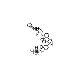 COc1cc(-c2nccc(-c3cccc(Nc4nccc(CNC[C@H]5CCO5)c4F)c3Cl)c2Cl)ccc1CNC[C@@H]1CCC(=O)N1